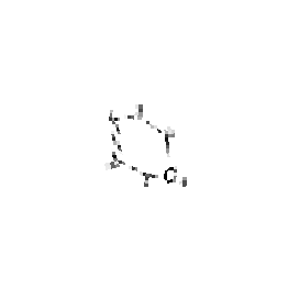 [C]1=CC[CH]OC1